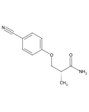 C[C@H](COc1ccc(C#N)cc1)C(N)=O